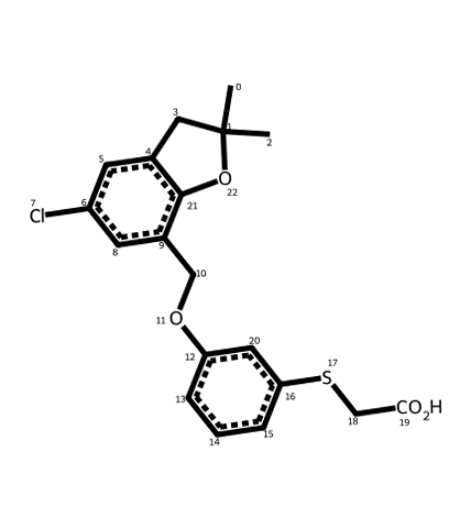 CC1(C)Cc2cc(Cl)cc(COc3cccc(SCC(=O)O)c3)c2O1